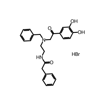 Br.O=C(Cc1ccccc1)NCCN(CC(=O)c1ccc(O)c(O)c1)Cc1ccccc1